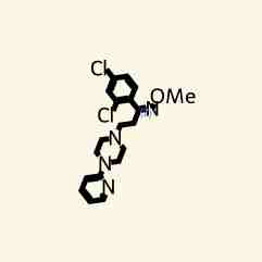 CO/N=C(/CCN1CCN(c2ccccn2)CC1)c1ccc(Cl)cc1Cl